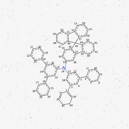 C1=CC(c2cc(-c3ccccc3)cc(N(c3cc(-c4ccccc4)cc(-c4ccccc4)c3)c3ccc4c(c3)-c3ccccc3C43c4ccccc4-c4ccccc43)c2)=CCC1